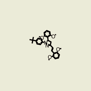 COc1cccc(OC)c1C=CC1=NN(c2ccc(C(C)(C)C)cc2)C(c2c(OC)cccc2OC)C1